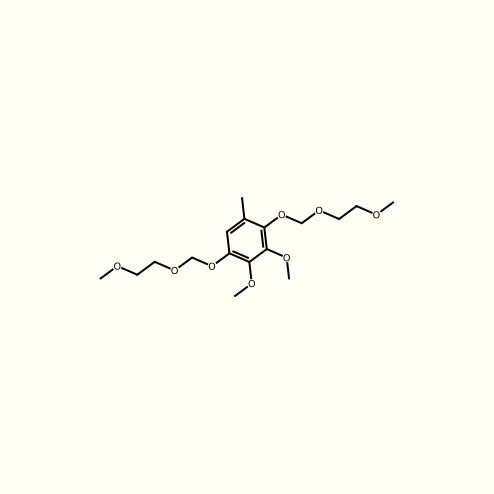 COCCOCOc1cc(C)c(OCOCCOC)c(OC)c1OC